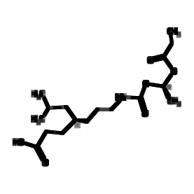 CCC(=O)O[C@@H](C)OC(=O)NCCC[C@@H](CCC(=O)O)CC(C)C